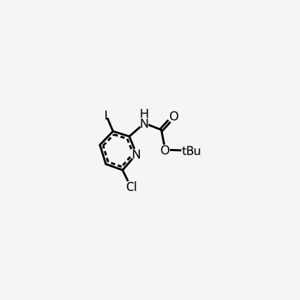 CC(C)(C)OC(=O)Nc1nc(Cl)ccc1I